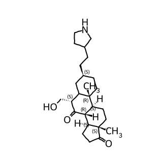 C[C@]12CC[C@H](CCC3CCNC3)CC1[C@@H](CO)C(=O)[C@@H]1[C@@H]2CC[C@]2(C)C(=O)CC[C@@H]12